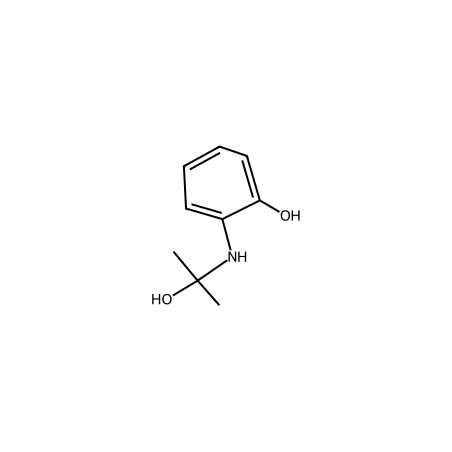 CC(C)(O)Nc1ccccc1O